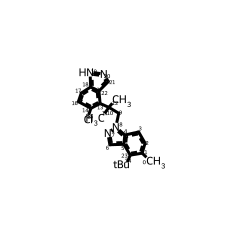 Cc1ccc2c(cnn2CC(C)(C)c2c(Cl)ccc3[nH]ncc23)c1C(C)(C)C